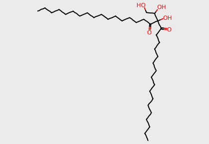 CCCCCCCCCCCCCCCCC(=O)C(O)(C(=O)CCCCCCCCCCCCCCCC)C(O)CO